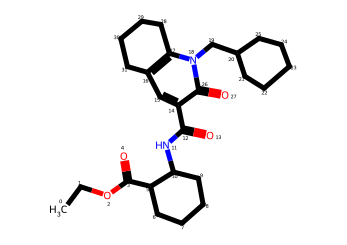 CCOC(=O)C1CCCCC1NC(=O)c1cc2c(n(CC3CCCCC3)c1=O)CCCC2